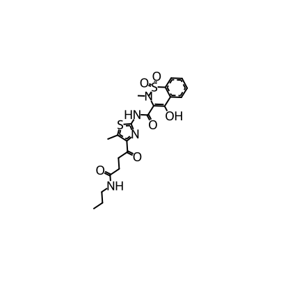 CCCNC(=O)CCC(=O)c1nc(NC(=O)C2=C(O)c3ccccc3S(=O)(=O)N2C)sc1C